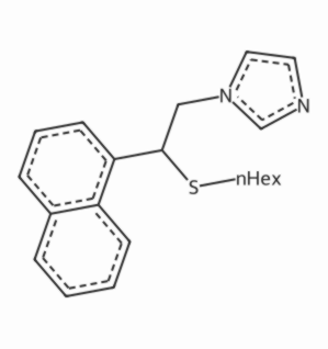 CCCCCCSC(Cn1ccnc1)c1cccc2ccccc12